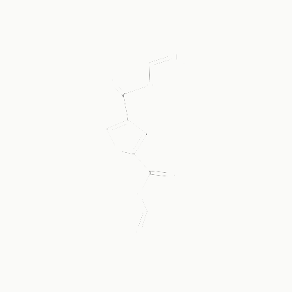 C=COC(=O)c1coc(C(=O)OC=C)c1